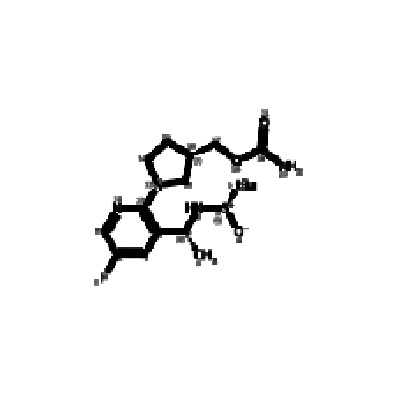 C[C@@H](N[S@+]([O-])C(C)(C)C)c1cc(F)cnc1N1CC[C@@H](COC(N)=O)C1